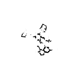 CCc1c(F)ccc2cc(O)cc(-n3c(C(F)(F)F)cc4c(N5C[C@H]6CC[C@@H](C5)N6)nc(OC[C@@H]5CCCN5C)nc4c3=O)c12